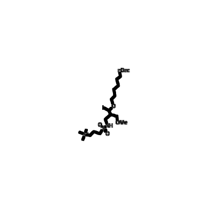 CCCCCCCCCCCCCCCCOC(I)C(CNS(=O)(=O)CCC[N+](C)(C)C)COC